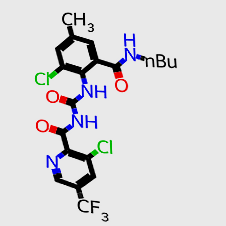 CCCCNC(=O)c1cc(C)cc(Cl)c1NC(=O)NC(=O)c1ncc(C(F)(F)F)cc1Cl